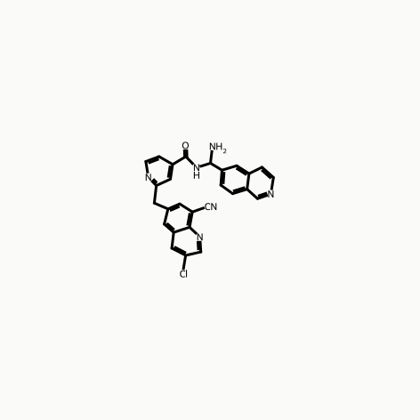 N#Cc1cc(Cc2cc(C(=O)NC(N)c3ccc4cnccc4c3)ccn2)cc2cc(Cl)cnc12